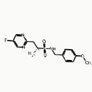 COc1ccc(CNS(=O)(=O)[C@H](C)Cc2ncc(F)cn2)cc1